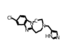 Clc1ccc2c(c1)nc1n2CCN(Cc2cnc[nH]2)CC1